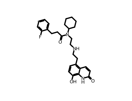 O=C(CCc1cc[c]cc1F)N(CCNCCc1ccc(O)c2[nH]c(=O)ccc12)C1CCCCC1